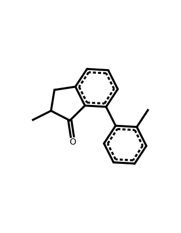 Cc1ccccc1-c1cccc2c1C(=O)C(C)C2